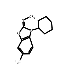 FC(F)(F)N=c1oc2cc(C(F)(F)F)ccc2n1C1CCCCC1